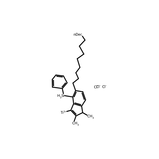 CCCCCCCCCCCCCCCCCCc1ccc2c(c1[SiH2]c1ccccc1)[C]([Ti+3])=C(C)C2C.[Cl-].[Cl-].[Cl-]